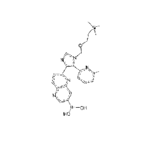 Cc1cccc(-c2c(-c3ccc4ncc(B(O)O)cc4n3)ncn2COCC[Si](C)(C)C)n1